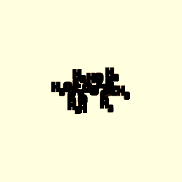 CC(C)(C)C(O)OOC(O)C(C)(C)C